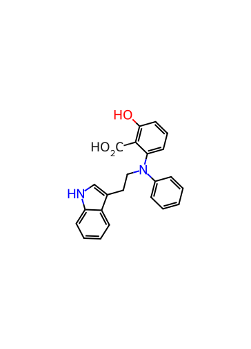 O=C(O)c1c(O)cccc1N(CCc1c[nH]c2ccccc12)c1ccccc1